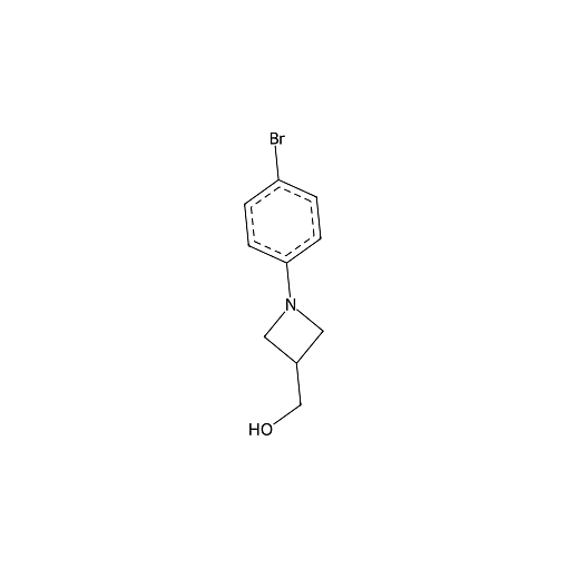 OCC1CN(c2ccc(Br)cc2)C1